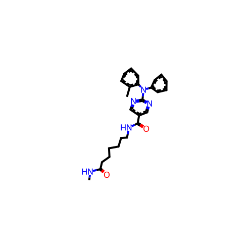 CNC(=O)CCCCCCNC(=O)c1cnc(N(c2ccccc2)c2ccccc2C)nc1